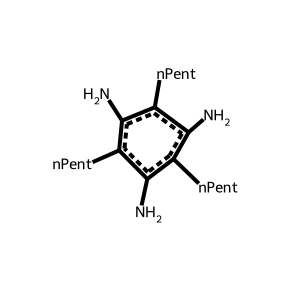 CCCCCc1c(N)c(CCCCC)c(N)c(CCCCC)c1N